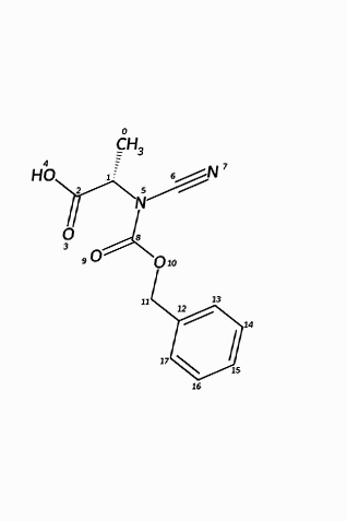 C[C@@H](C(=O)O)N(C#N)C(=O)OCc1ccccc1